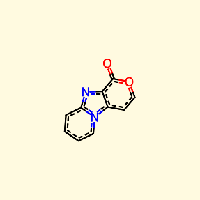 O=c1occc2c1nc1ccccn12